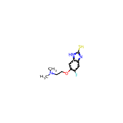 CN(C)CCOc1cc2[nH]c(S)nc2cc1F